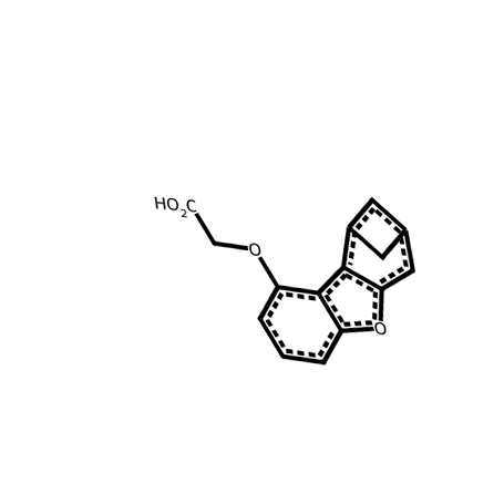 O=C(O)COc1cccc2oc3cc4cc(c3c12)C4